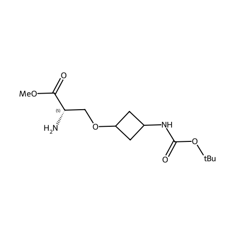 COC(=O)[C@@H](N)COC1CC(NC(=O)OC(C)(C)C)C1